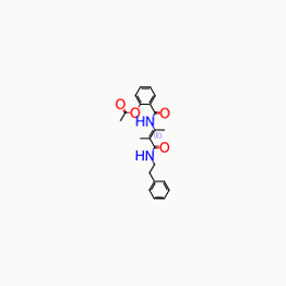 CC(=O)Oc1ccccc1C(=O)N/C(C)=C(\C)C(=O)NCCc1ccccc1